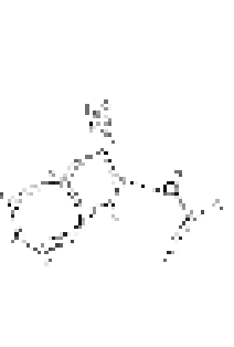 CC(=O)Oc1cn2cccc2cn1.Cl.Cl